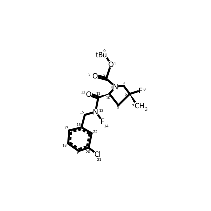 CC(C)(C)OC(=O)N1C[C@](C)(F)C[C@H]1C(=O)N(F)Cc1cccc(Cl)c1